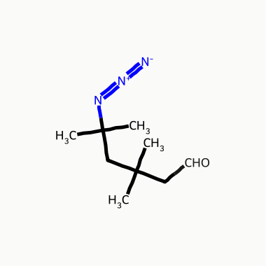 CC(C)(CC=O)CC(C)(C)N=[N+]=[N-]